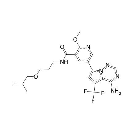 COc1ncc(-c2cc(C(F)(F)F)c3c(N)ncnn23)cc1C(=O)NCCCOCC(C)C